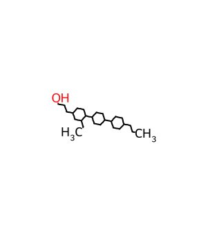 CCCC1CCC(C2CCC(C3CCC(CCCO)CC3CC)CC2)CC1